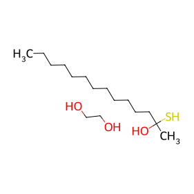 CCCCCCCCCCCCC(C)(O)S.OCCO